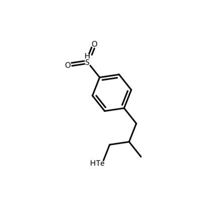 CC(C[TeH])Cc1ccc([SH](=O)=O)cc1